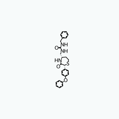 O=C(NCc1ccccc1)NC[C@@H]1CCS[C@H](c2ccc(Oc3ccccc3)cc2)C(=O)N1